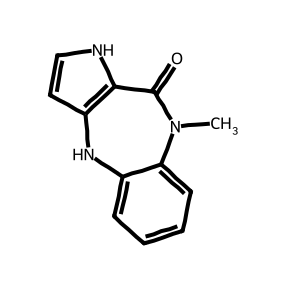 CN1C(=O)c2[nH]ccc2Nc2ccccc21